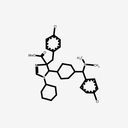 COC(=O)C1(Cc2ccc(Cl)cc2)N=CN(C2CCCCC2)C1C1CCC(C(c2ccc(Cl)cc2)N(C)C)CC1